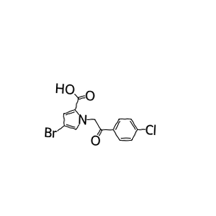 O=C(Cn1cc(Br)cc1C(=O)O)c1ccc(Cl)cc1